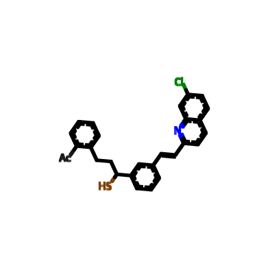 CC(=O)c1ccccc1CCC(S)c1cccc(C=Cc2ccc3ccc(Cl)cc3n2)c1